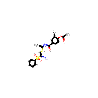 C=C(NC(=O)c1ccc(OC(C)=O)c(C)c1)S/C=C(\N)S(=O)(=O)c1ccccc1